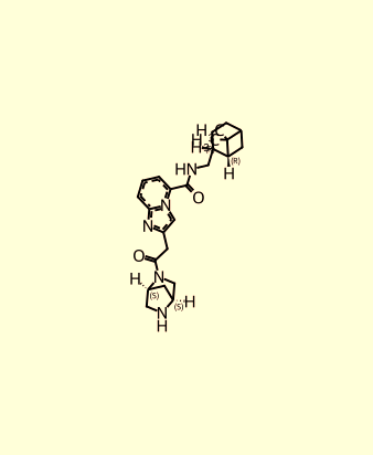 CC1(C)C2CC[C@@H](CNC(=O)c3cccc4nc(CC(=O)N5C[C@@H]6C[C@H]5CN6)cn34)[C@H]1C2